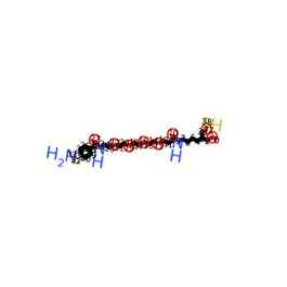 COCC(CCCCNC(=O)CCOCCOCCOCCOCCNC(=O)c1ccc(SN)cc1)COS